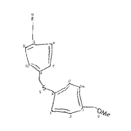 COc1ccc(Sc2ccc(F)cc2)cc1